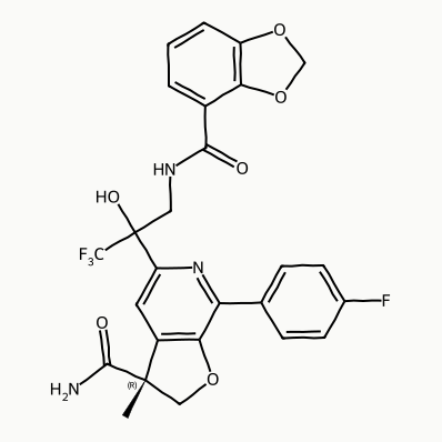 C[C@]1(C(N)=O)COc2c1cc(C(O)(CNC(=O)c1cccc3c1OCO3)C(F)(F)F)nc2-c1ccc(F)cc1